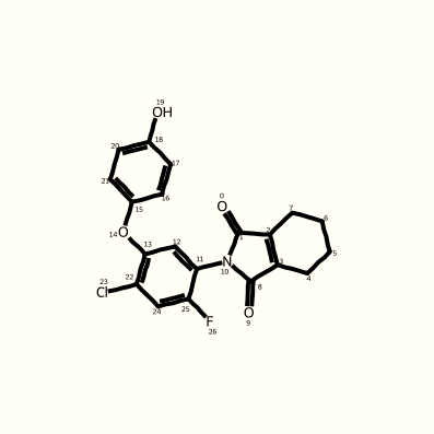 O=C1C2=C(CCCC2)C(=O)N1c1cc(Oc2ccc(O)cc2)c(Cl)cc1F